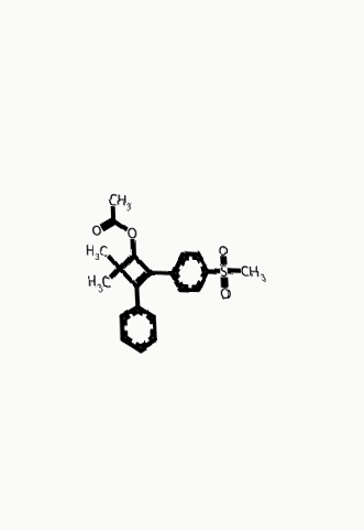 CC(=O)OC1C(c2ccc(S(C)(=O)=O)cc2)=C(c2ccccc2)C1(C)C